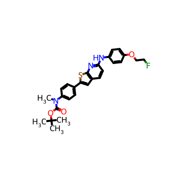 CN(C(=O)OC(C)(C)C)c1ccc(-c2cc3ccc(Nc4ccc(OCCF)cc4)nc3s2)cc1